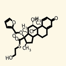 C[C@@H]1CC2C3CCC4=CC(=O)C=C[C@]4(C)[C@@]3(Cl)[C@@H](O)C[C@]2(C)[C@@]1(OC(=O)c1ccco1)C(=O)SCCO